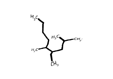 [CH2]C(C)CC(C)C(C)CCCC